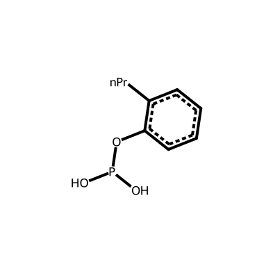 CCCc1ccccc1OP(O)O